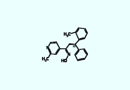 Cc1cc(C(C[C@H](c2ccccc2)c2ccccc2C)=NO)ccn1